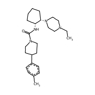 CCN1CCN([C@H]2CCCC[C@H]2NC(=O)N2CCC(c3ccc(C)cc3)CC2)CC1